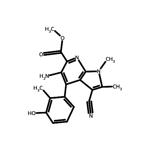 COC(=O)c1nc2c(c(C#N)c(C)n2C)c(-c2cccc(O)c2C)c1N